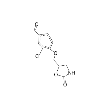 O=Cc1ccc(OCC2CNC(=O)O2)c(Cl)c1